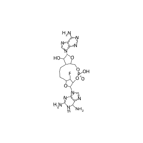 NC1=Nc2c(ncn2C2OC3CCCC4C(COP(=O)(O)OC2C3F)OC(n2cnc3c(N)ncnc32)C4O)C(N)N1